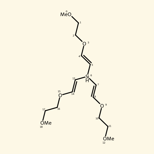 COCCOC=C[SiH](C=COCCOC)C=COCCOC